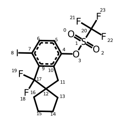 O=S(=O)(Oc1ccc(I)c2c1CC1(CCCC1)C2(F)F)C(F)(F)F